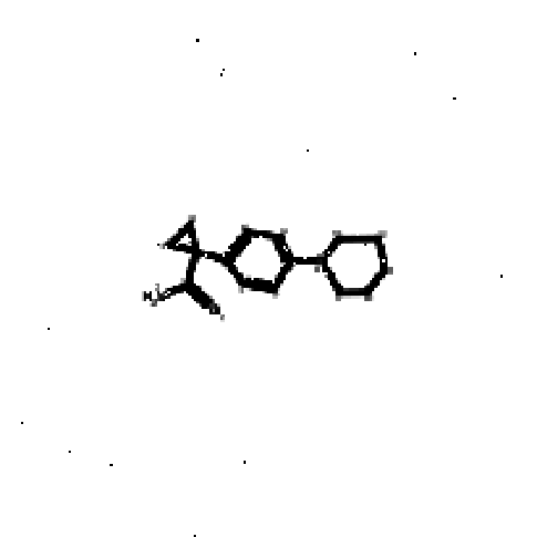 NC(=O)C1(c2ccc(N3CCCCC3)cc2)CC1